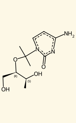 C[C@H](O)[C@@H](CO)OC(C)(C)n1ccc(N)nc1=O